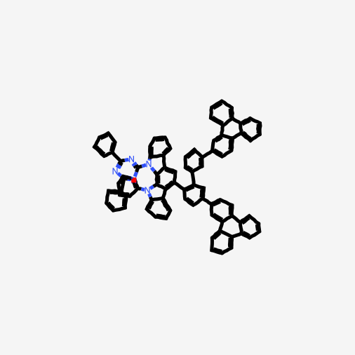 c1ccc(-c2nc(-c3ccccc3)nc(-n3c4ccccc4c4cc(-c5ccc(-c6ccc7c8ccccc8c8ccccc8c7c6)cc5-c5cccc(-c6ccc7c8ccccc8c8ccccc8c7c6)c5)c5c6ccccc6n(-c6ccccc6)c5c43)n2)cc1